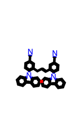 N#Cc1ccc(-n2c3ccccc3c3ccccc32)c(/C=C/Cc2cc(C#N)ccc2-n2c3ccccc3c3ccccc32)c1